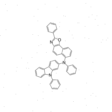 c1ccc(-c2nc3ccc4c(N(c5ccccc5)c5ccc6c7ccccc7n(-c7ccccc7)c6c5)cccc4c3o2)cc1